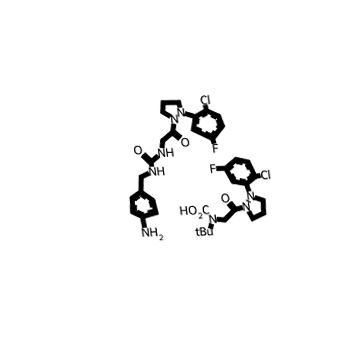 CC(C)(C)N(CC(=O)N1CCCN1c1cc(F)ccc1Cl)C(=O)O.Nc1ccc(CNC(=O)NCC(=O)N2CCCN2c2cc(F)ccc2Cl)cc1